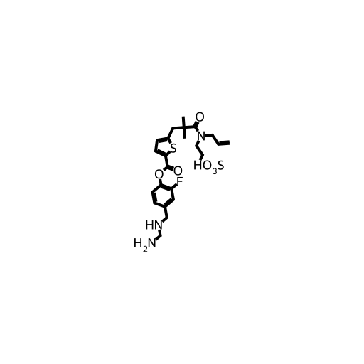 C=CCN(CCS(=O)(=O)O)C(=O)C(C)(C)Cc1ccc(C(=O)Oc2ccc(CNCN)cc2F)s1